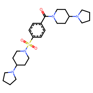 O=C(c1ccc(S(=O)(=O)N2CCC(N3CCCC3)CC2)cc1)N1CCC(N2CCCC2)CC1